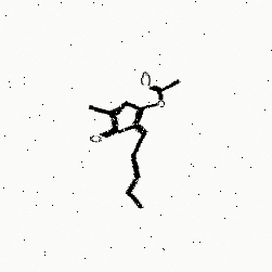 CCCCCC1=C(OC(C)=O)CC(C)C1=O